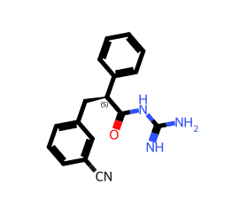 N#Cc1cccc(C[C@H](C(=O)NC(=N)N)c2ccccc2)c1